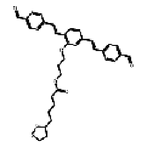 O=Cc1ccc(C=Cc2ccc(C=Cc3ccc(C=O)cc3)c(OCCCOC(=O)CCCCC3CCSS3)c2)cc1